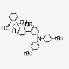 C#Cc1ccccc1C(C)(C)c1cccc(-c2cc(N(c3ccc(C(C)(C)C)cc3)c3ccc(C(C)(C)C)cc3)ccc2C)c1C